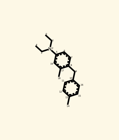 CCN(CC)c1ccc(Cc2ccc(C)cc2)c(C)c1